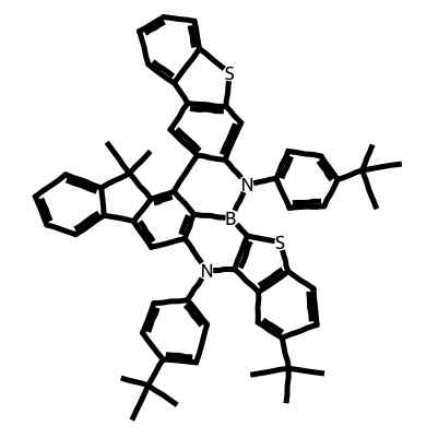 CC(C)(C)c1ccc(N2B3c4sc5ccc(C(C)(C)C)cc5c4N(c4ccc(C(C)(C)C)cc4)c4cc5c(c(c43)-c3cc4c(cc32)sc2ccccc24)C(C)(C)c2ccccc2-5)cc1